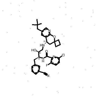 CC(C)(C)Cc1cnc2c(c1)[C@@H](NC[C@H](O)[C@H](Cc1cccc(C#N)c1)NC(=O)c1nc(Cl)ccc1F)CC1(CCC1)O2